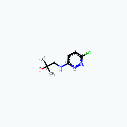 OC(CNc1ccc(Cl)nn1)(C(F)(F)F)C(F)(F)F